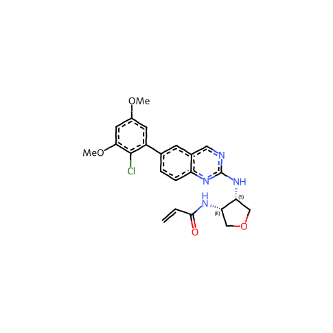 C=CC(=O)N[C@H]1COC[C@H]1Nc1ncc2cc(-c3cc(OC)cc(OC)c3Cl)ccc2n1